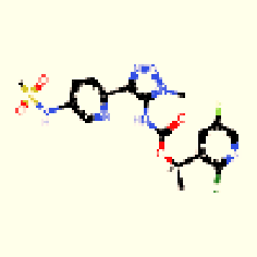 C[C@@H](OC(=O)Nc1c(-c2ccc(NS(C)(=O)=O)cn2)nnn1C)c1cc(F)cnc1Cl